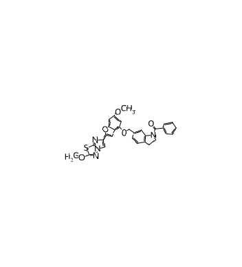 COc1cc(OCc2ccc3c(c2)N(C(=O)c2ccccc2)CC3)c2cc(-c3cn4nc(OC)sc4n3)oc2c1